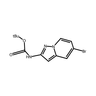 CC(C)(C)OC(=O)Nc1cc2cc(Br)ccn2n1